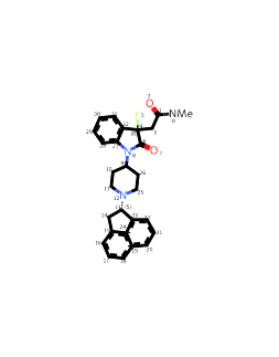 CNC(=O)C[C@]1(F)C(=O)N(C2CCN([C@H]3Cc4cccc5cccc3c45)CC2)c2ccccc21